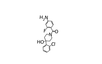 Nc1ccc(C(=O)N2CCC(O)(c3ccccc3Cl)CC2)c(F)c1